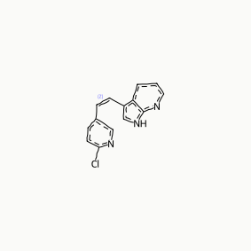 Clc1ccc(/C=C\c2c[nH]c3ncccc23)cn1